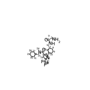 C[C@H](N)C(=O)NCc1cccc(-n2nc(C(F)(F)F)cc2C(=O)N(C)Cc2ccccc2)c1